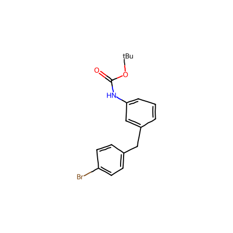 CC(C)(C)OC(=O)Nc1cccc(Cc2ccc(Br)cc2)c1